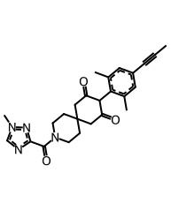 CC#Cc1cc(C)c(C2C(=O)CC3(CCN(C(=O)c4ncn(C)n4)CC3)CC2=O)c(C)c1